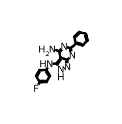 Nc1nc(-c2ccccc2)nc2n[nH]c(Nc3ccc(F)cc3)c12